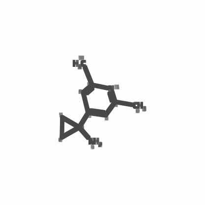 Cc1cc(C2(N)CC2)cc(C)n1